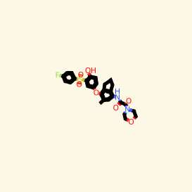 Cc1cc(NC(=O)C(=O)N2CCOCC2)c2c(c1Oc1ccc(O)c(S(=O)(=O)c3ccc(F)cc3)c1)CCC2